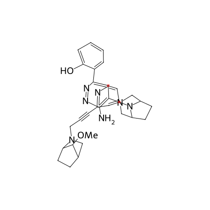 COC1C2CCC1N(CC#Cc1cc(N3C4CCC3CN(c3cc(-c5ccccc5O)nnc3N)C4)ccn1)C2